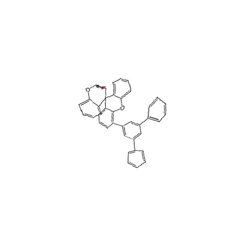 c1ccc(-c2cc(-c3ccccc3)cc(-c3cccc4c3Oc3ccccc3C43c4ccccc4Oc4ccccc43)c2)cc1